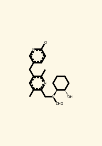 Cc1cc(Cc2ccc(Cl)nc2)c(C)nc1CN(C=O)[C@H]1CCCC[C@@H]1O